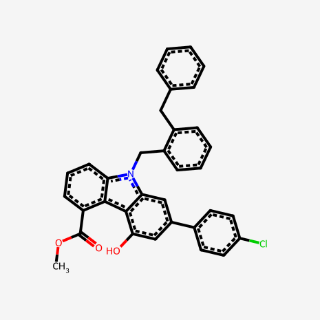 COC(=O)c1cccc2c1c1c(O)cc(-c3ccc(Cl)cc3)cc1n2Cc1ccccc1Cc1ccccc1